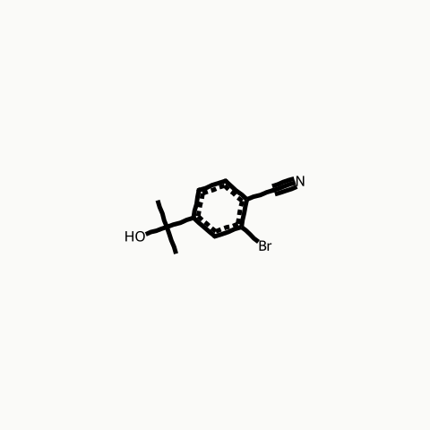 CC(C)(O)c1ccc(C#N)c(Br)c1